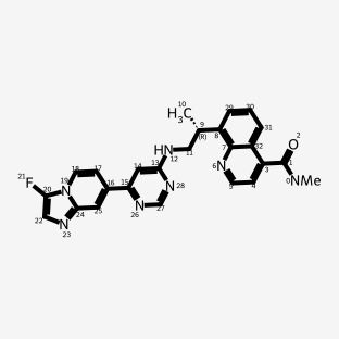 CNC(=O)c1ccnc2c([C@@H](C)CNc3cc(-c4ccn5c(F)cnc5c4)ncn3)cccc12